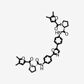 Cc1cc(C(=O)N2CCC[C@H]2C(=O)Nc2ccc(-c3cnc(-c4ccc(NC(=O)[C@@H]5CCCN5C(=O)c5cc(C)c(C)o5)cc4)o3)cc2)oc1C